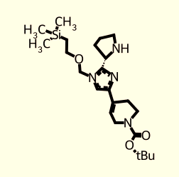 CC(C)(C)OC(=O)N1CC=C(c2cn(COCC[Si](C)(C)C)c([C@@H]3CCCN3)n2)CC1